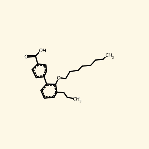 CCCCCCCCOc1c(CCC)cccc1-c1ccc(C(=O)O)cc1